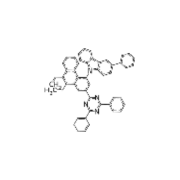 C=Cc1c(C=C)c2cc(-c3nc(C4=CCCC=C4)nc(-c4ccccc4)n3)cc(-n3c4ccccc4c4cc(-c5ccccc5)ccc43)c2c2ccccc12